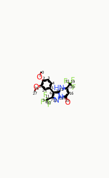 COc1ccc(-c2c(C(F)(F)F)nn3c(=O)cc(C(F)(F)F)[nH]c23)cc1OC